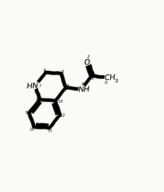 CC(=O)NC1CCNc2ccccc21